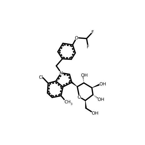 Cc1ccc(Cl)c2c1c([C@@H]1O[C@H](CO)[C@@H](O)[C@H](O)[C@H]1O)cn2Cc1ccc(OC(F)F)cc1